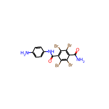 NC(=O)c1c(Br)c(Br)c(C(=O)Nc2ccc(N)cc2)c(Br)c1Br